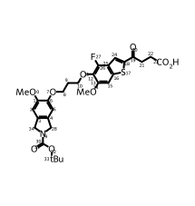 COc1cc2c(cc1OCCCOc1c(OC)cc3sc(C(=O)CCC(=O)O)cc3c1F)CN(C(=O)OC(C)(C)C)C2